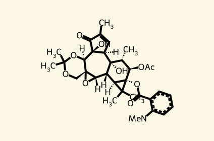 CNc1ccccc1C(=O)O[C@@]12[C@H](OC(C)=O)[C@@H](C)[C@@]3(O)[C@H]([C@@H]1C2(C)C)[C@@H]1O[C@@]12COC(C)(C)O[C@H]2[C@]1(O)C(=O)C(C)=C[C@H]13